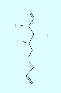 C=CCOC[C@@H](O)[C@@H](O)[C@@H](O)C=O